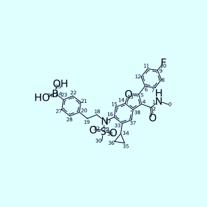 CNC(=O)c1c(-c2ccc(F)cc2)oc2cc(N(CCc3ccc(B(O)O)cc3)S(C)(=O)=O)c(C3CC3)cc12